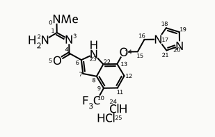 CNC(N)=NC(=O)c1cc2c(C(F)(F)F)ccc(OCCn3ccnc3)c2[nH]1.Cl.Cl